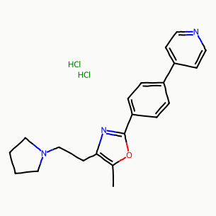 Cc1oc(-c2ccc(-c3ccncc3)cc2)nc1CCN1CCCC1.Cl.Cl